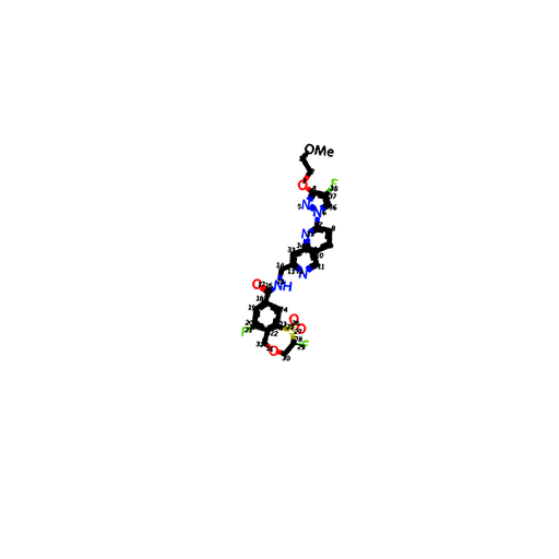 COCCOc1nn(-c2ccc3cnc(CNC(=O)c4cc(F)c5c(c4)S(=O)(=O)[C@@H](F)COC5)cc3n2)cc1F